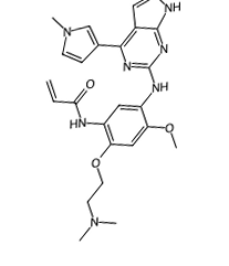 C=CC(=O)Nc1cc(Nc2nc(-c3ccn(C)c3)c3cc[nH]c3n2)c(OC)cc1OCCN(C)C